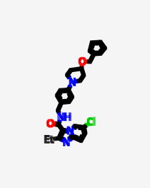 CCc1nc2ccc(Cl)cn2c1C(=O)NCc1ccc(N2CCC(OCc3ccccc3)CC2)cc1